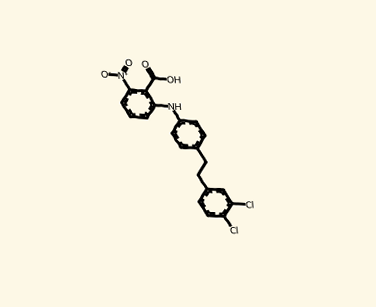 O=C(O)c1c(Nc2ccc(CCc3ccc(Cl)c(Cl)c3)cc2)cccc1[N+](=O)[O-]